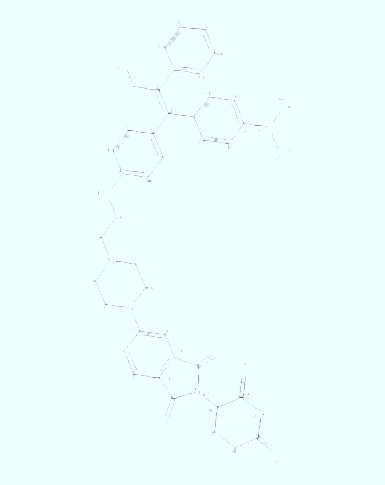 CC/C(=C(\c1ccc(OCCN2CCN(c3ccc4c(c3)C(=O)N(C3CCC(=O)NC3=O)C4=O)CC2)cc1)c1ccc(B(O)O)cc1)c1ccccc1